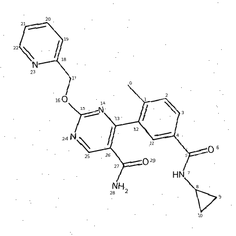 Cc1ccc(C(=O)NC2CC2)cc1-c1nc(OCc2ccccn2)ncc1C(N)=O